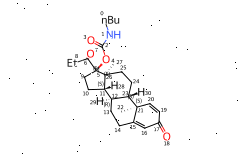 CCCCNC(=O)O[C@]1(C(=O)CC)CC[C@H]2[C@@H]3CCC4=CC(=O)C=C[C@]4(C)[C@H]3CC[C@@]21C